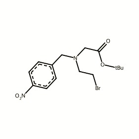 CC(C)(C)OC(=O)CN(CCBr)Cc1ccc([N+](=O)[O-])cc1